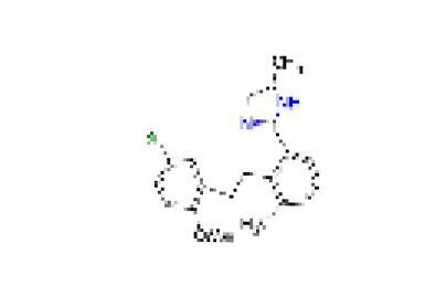 COc1ccc(Br)cc1CCc1c(C)cccc1C1=NCC(C)N1